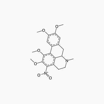 COc1cc2c(cc1OC)-c1c(OC)c(OC)c([N+](=O)[O-])c3c1C(C2)N(C)CC3